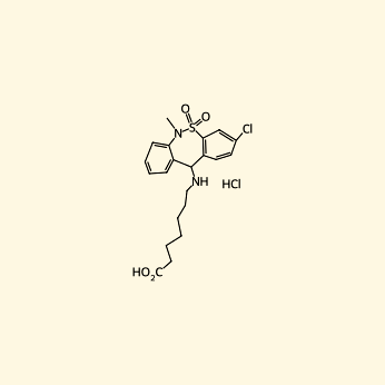 CN1c2ccccc2C(NCCCCCCC(=O)O)c2ccc(Cl)cc2S1(=O)=O.Cl